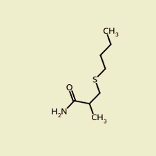 CCCCSCC(C)C(N)=O